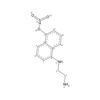 NCCNc1cccc2c(O[SH](=O)=O)cccc12